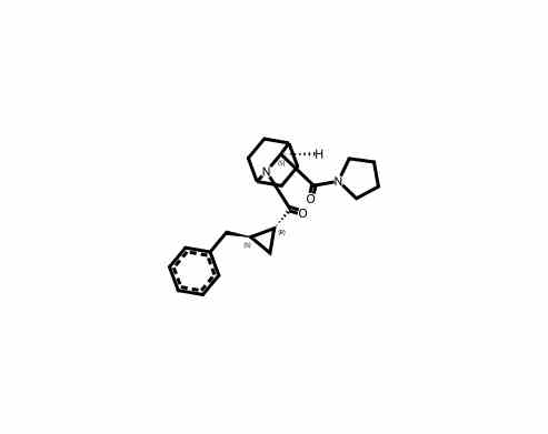 O=C([C@@H]1C2CCC(CC2)N1C(=O)[C@@H]1C[C@H]1Cc1ccccc1)N1CCCC1